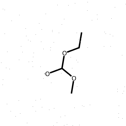 CCOC([O])OC